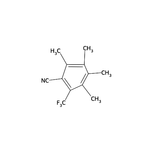 Cc1c(C)c(C)c(C(F)(F)F)c(C#N)c1C